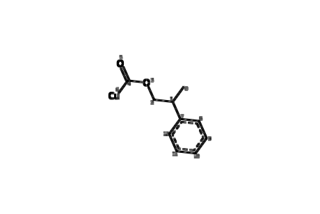 CC(CO[C](=O)[Cu])c1ccccc1